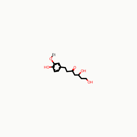 CCOc1cc(CCC(=O)CC(O)CCO)ccc1O